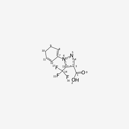 O=C(O)c1cnn(C2=CCCC=C2)c1C(F)(F)F